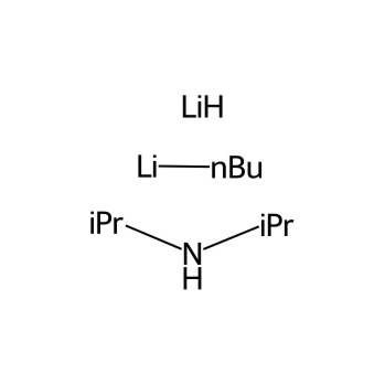 CC(C)NC(C)C.[LiH].[Li][CH2]CCC